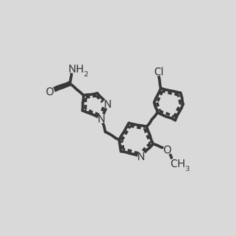 COc1ncc(Cn2cc(C(N)=O)cn2)cc1-c1cccc(Cl)c1